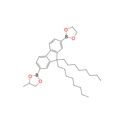 CCCCCCCCC1(CCCCCCCC)c2cc(B3OCCO3)ccc2-c2ccc(B3OCC(C)O3)cc21